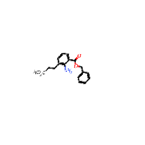 Nc1c(CCC(=O)O)cccc1C(=O)OCc1ccccc1